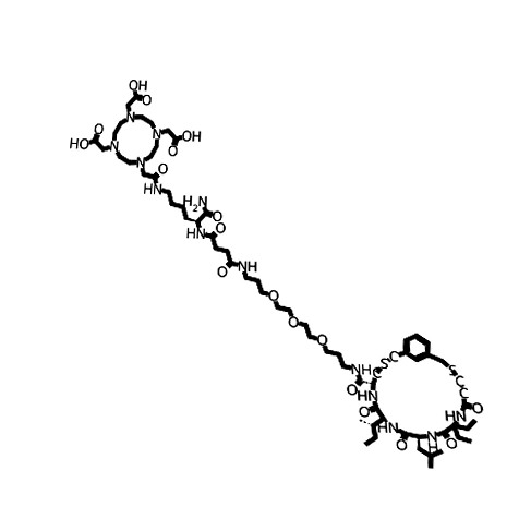 CC[C@H](C)[C@@H]1NC(=O)[C@H](CC(C)C)NC(=O)C(CC)(CC)NC(=O)CCSCc2cccc(c2)CSC[C@@H](C(=O)NCCCOCCOCCOCCCNC(=O)CCC(=O)N[C@@H](CCCCNC(=O)CN2CCN(CC(=O)O)CCN(CC(=O)O)CCN(CC(=O)O)CC2)C(N)=O)NC1=O